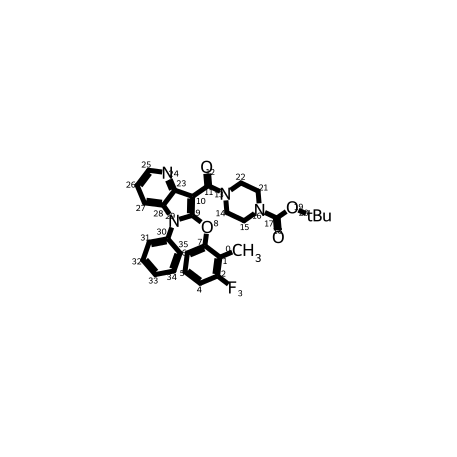 Cc1c(F)cccc1Oc1c(C(=O)N2CCN(C(=O)OC(C)(C)C)CC2)c2ncccc2n1-c1ccccc1